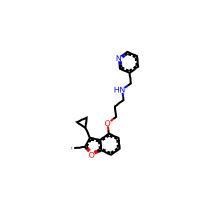 [CH]c1oc2cccc(OCCCNCc3cccnc3)c2c1C1CC1